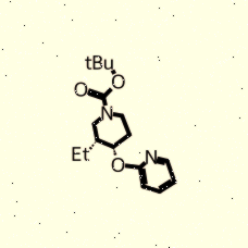 CC[C@@H]1CN(C(=O)OC(C)(C)C)CC[C@@H]1Oc1ccccn1